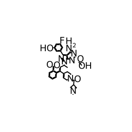 CC(c1oc(=O)c2ccccc2c1C1=CCN(C(=O)C2CN(C)C2)CC1)n1nc(-c2cc(O)cc(F)c2)c2c(N)ncnc21.O=CO